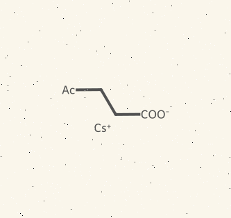 CC(=O)CCC(=O)[O-].[Cs+]